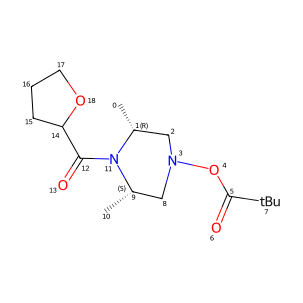 C[C@@H]1CN(OC(=O)C(C)(C)C)C[C@H](C)N1C(=O)C1CCCO1